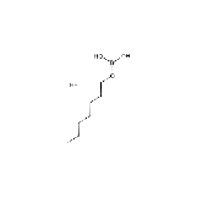 CCCCCCCOB(O)O.F